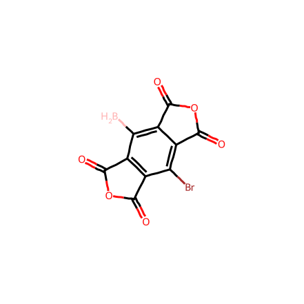 Bc1c2c(=O)oc(=O)c2c(Br)c2c(=O)oc(=O)c12